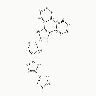 c1csc(-c2ccc(-c3ccc(-c4nc5c6cccnc6c6ncccc6c5[nH]4)[nH]3)s2)c1